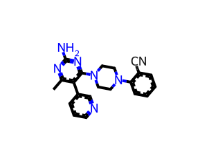 Cc1nc(N)nc(N2CCN(c3ccccc3C#N)CC2)c1-c1cccnc1